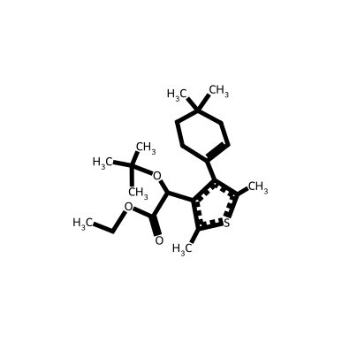 CCOC(=O)C(OC(C)(C)C)c1c(C)sc(C)c1C1=CCC(C)(C)CC1